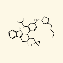 C[C@@H]1Cc2c([nH]c3ccccc23)[C@@H](c2ccc(N[C@H]3CCN(CCCF)C3)cc2OC(F)F)N1CC1(F)CC1